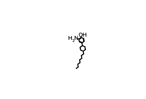 CCCCCCCCC1CCC(c2ccc(O)c(N)c2)CC1